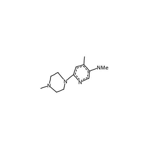 CNc1cnc(N2CCN(C)CC2)cc1C